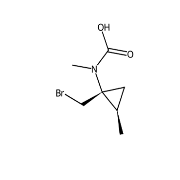 C[C@@H]1C[C@@]1(CBr)N(C)C(=O)O